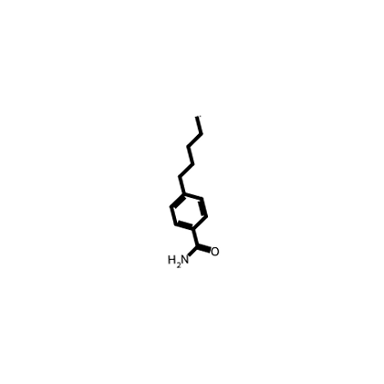 [CH2]CCCCc1ccc(C(N)=O)cc1